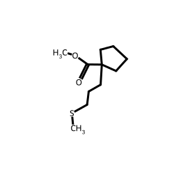 COC(=O)C1(CCCSC)CCCC1